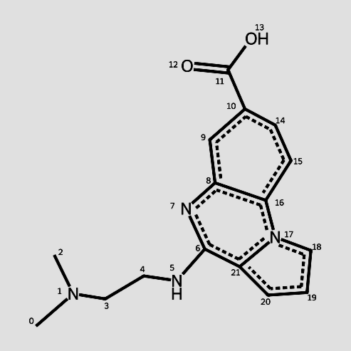 CN(C)CCNc1nc2cc(C(=O)O)ccc2n2cccc12